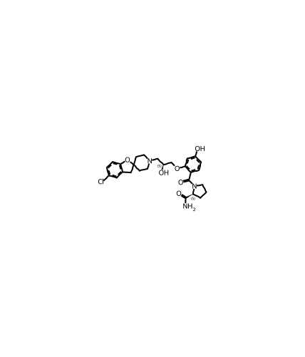 NC(=O)[C@@H]1CCCN1C(=O)c1ccc(O)cc1OC[C@@H](O)CN1CCC2(CC1)Cc1cc(Cl)ccc1O2